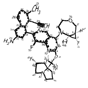 [2H]C([2H])(Oc1nc(N2CCOC[C@H]3[C@H](F)[C@H]32)c2cnc(-c3cc(N)cc4ccc(C)c(C#C)c34)c(F)c2n1)[C@@]12CCCN1C[C@H](F)C2